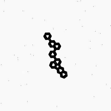 c1ccc(-c2ccc3c(-c4cccc(-c5ccc6c7c(cccc57)-c5cc7ccccc7cc5-6)c4)cccc3c2)cc1